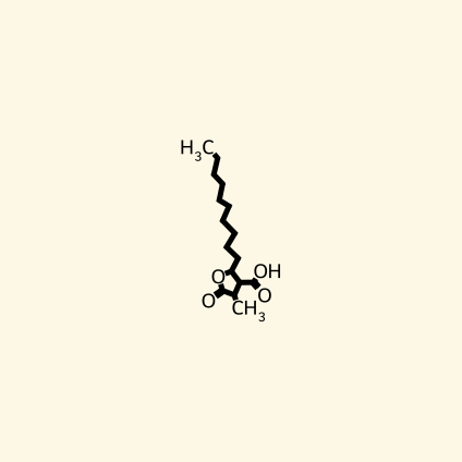 CCCCCCCCCCC1OC(=O)C(C)C1C(=O)O